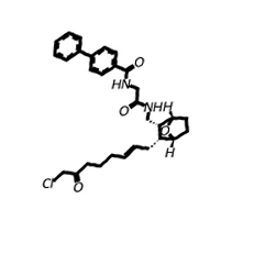 O=C(CCl)CCCC=CC[C@@H]1[C@H](CNC(=O)CNC(=O)c2ccc(-c3ccccc3)cc2)[C@@H]2CC[C@H]1O2